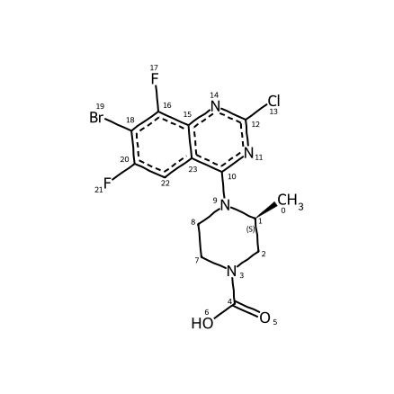 C[C@H]1CN(C(=O)O)CCN1c1nc(Cl)nc2c(F)c(Br)c(F)cc12